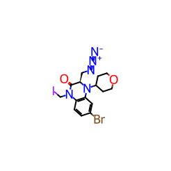 [N-]=[N+]=NC[C@@H]1C(=O)N(CI)c2ccc(Br)cc2N1C1CCOCC1